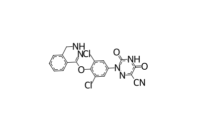 N#Cc1nn(-c2cc(Cl)c(OC3=NNCc4ccccc43)c(Cl)c2)c(=O)[nH]c1=O